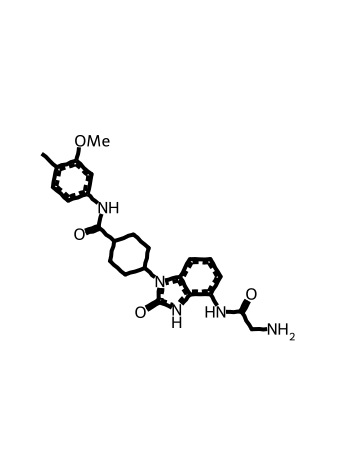 COc1cc(NC(=O)C2CCC(n3c(=O)[nH]c4c(NC(=O)CN)cccc43)CC2)ccc1C